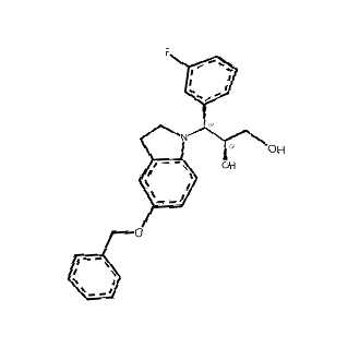 OC[C@@H](O)[C@H](c1cccc(F)c1)N1CCc2cc(OCc3ccccc3)ccc21